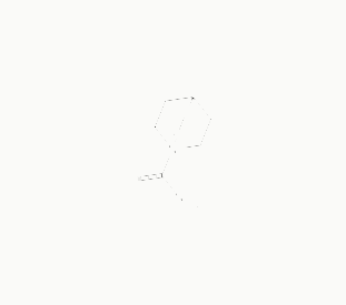 NC(=O)[N+]12C[CH]C(CC1)CC2